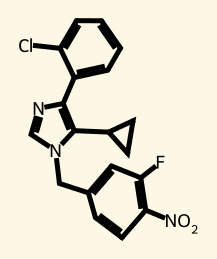 O=[N+]([O-])c1ccc(Cn2cnc(-c3ccccc3Cl)c2C2CC2)cc1F